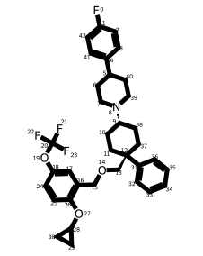 Fc1ccc(C2CCN([C@H]3CC[C@@](COCc4cc(OC(F)(F)F)ccc4OC4CC4)(c4ccccc4)CC3)CC2)cc1